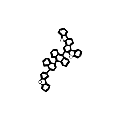 c1ccc2c(c1)oc1ccc(-c3ccc(-c4c5ccccc5c(-c5cc6c(ccc7c8ccccc8oc76)c6c5oc5ccccc56)c5ccccc45)c4ccccc34)cc12